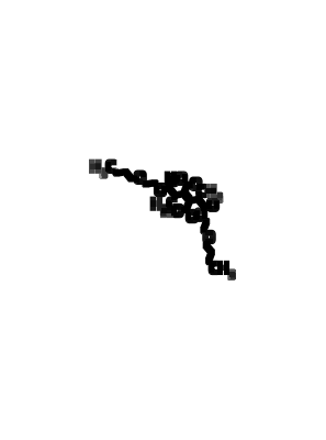 CCCCOCCOC(=O)C(C)C(C(=O)O)=C(C(=O)O)C(C)C(=O)OCCOCCCC